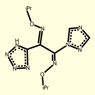 CC(C)ON=C(C(=NOC(C)C)n1cncn1)c1nnn[nH]1